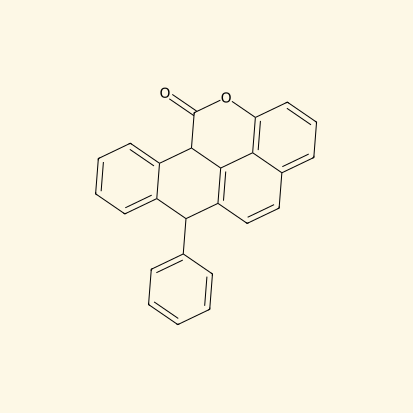 O=C1Oc2cccc3ccc4c(c23)C1c1ccccc1C4c1ccccc1